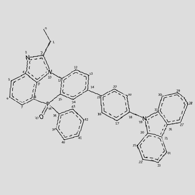 CCc1nc2cccc3c2n1-c1ccc(-c2ccc(-n4c5ccccc5c5ccccc54)cc2)cc1P3(=O)c1ccccc1